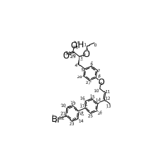 CCO[C@@H](Cc1ccc(OCC=C(C)c2ccc(-c3ccc(Br)cc3)cc2)cc1)C(=O)O